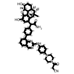 CN1CC[C@]23c4c5c(C(C(N)=O)c6ccc(-c7cccc8cnc(Nc9ccc(N%10CCN(C(=O)CC#N)CC%10)cc9)nc78)cc6)cc(O)c4O[C@H]2[C@@H](O)C=C[C@H]3[C@H]1C5